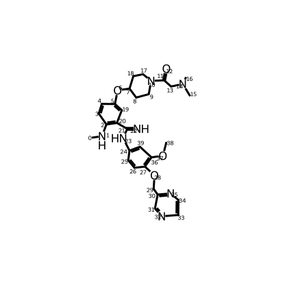 CNc1ccc(OC2CCN(C(=O)CN(C)C)CC2)cc1C(=N)Nc1ccc(OCc2cnccn2)c(OC)c1